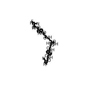 N#CC1CC(F)(F)CN1C(=O)CNC(=O)c1ccnc2c(NC(=O)CCC(=O)NCCCCC(NC(=O)CCC(=O)Nc3cccc4c(C(=O)NCC(=O)N5CC(F)(F)CC5C#N)ccnc34)C(=O)O)cccc12